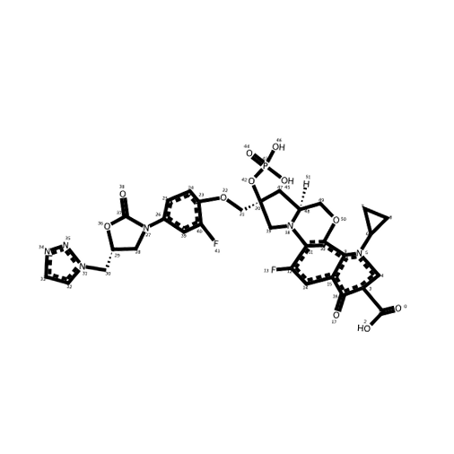 O=C(O)c1cn(C2CC2)c2c3c(c(F)cc2c1=O)N1C[C@@](COc2ccc(N4C[C@H](Cn5ccnn5)OC4=O)cc2F)(OP(=O)(O)O)C[C@H]1CO3